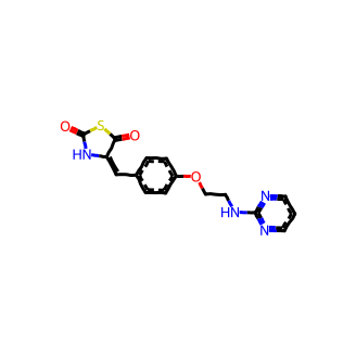 O=C1NC(=Cc2ccc(OCCNc3ncccn3)cc2)C(=O)S1